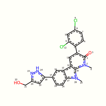 Cn1c(=O)c(-c2ccc(Cl)cc2Cl)cc2c3cc(-c4cc(CO)n[nH]4)ccc3n(C)c21